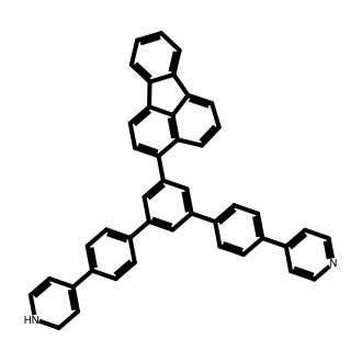 C1=CC(c2ccc(-c3cc(-c4ccc(-c5ccncc5)cc4)cc(-c4ccc5c6c(cccc46)-c4ccccc4-5)c3)cc2)=CCN1